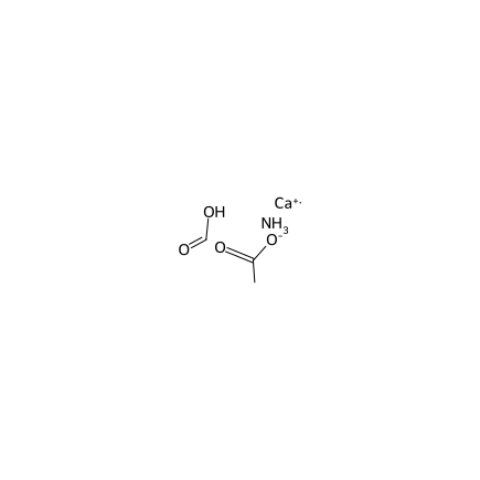 CC(=O)[O-].N.O=CO.[Ca+]